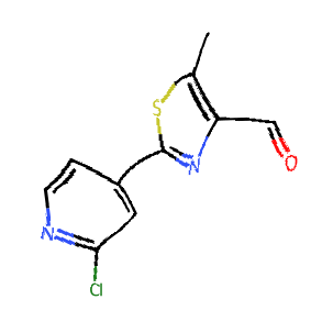 Cc1sc(-c2ccnc(Cl)c2)nc1C=O